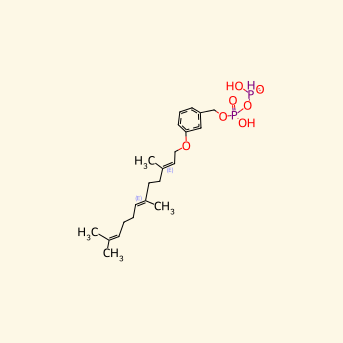 CC(C)=CCC/C=C(\C)CC/C(C)=C/COc1cccc(COP(=O)(O)O[PH](=O)O)c1